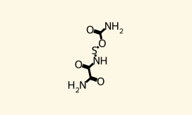 NC(=O)OSNC(=O)C(N)=O